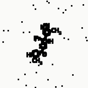 Cc1cc(-c2[nH]c3cc(C(=O)N4CCN[C@H](C)C4)sc3c2C(C)C)cn2ncnc12